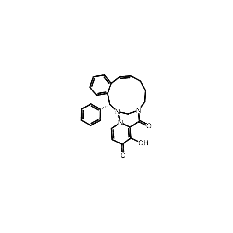 O=C1c2c(O)c(=O)ccn2N2CN1CCC/C=C\c1ccccc1[C@H]2c1ccccc1